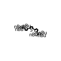 CCC[CH2][Sn]([CH2]CCC)([CH2]CCC)[c]1ccc(-c2ccc(-c3cc[c]([Sn]([CH2]CCC)([CH2]CCC)[CH2]CCC)s3)s2)s1